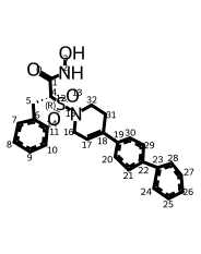 O=C(NO)[C@@H](Cc1ccccc1)S(=O)(=O)N1CC=C(c2ccc(-c3ccccc3)cc2)CC1